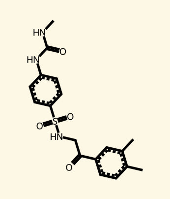 CNC(=O)Nc1ccc(S(=O)(=O)NCC(=O)c2ccc(C)c(C)c2)cc1